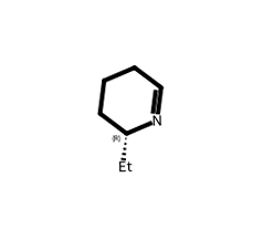 CC[C@@H]1CCCC=N1